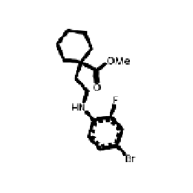 COC(=O)C1(CCNc2ccc(Br)cc2F)CCCCC1